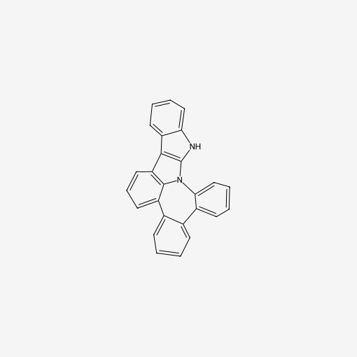 c1ccc2c(c1)-c1ccccc1-n1c3[nH]c4ccccc4c3c3cccc-2c31